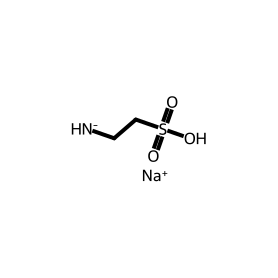 [NH-]CCS(=O)(=O)O.[Na+]